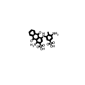 Cc1c(N)cc(S(=O)(=O)O)cc1Nc1cc(S(=O)(=O)O)c(N)c2c1C(=O)c1ccccc1C2=O